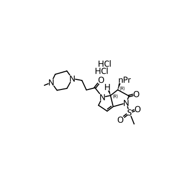 CCC[C@H]1C(=O)N(S(C)(=O)=O)C2=CCN(C(=O)CCN3CCN(C)CC3)[C@@H]21.Cl.Cl